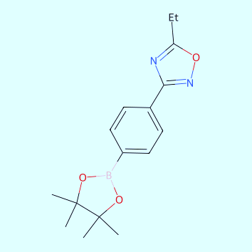 CCc1nc(-c2ccc(B3OC(C)(C)C(C)(C)O3)cc2)no1